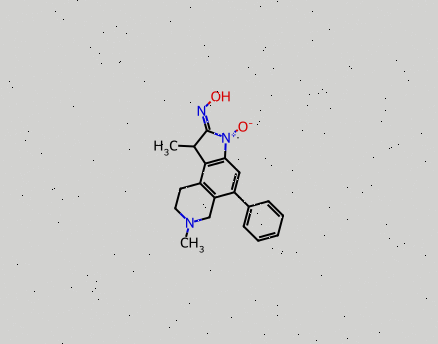 CC1C(=NO)[N+]([O-])c2cc(-c3ccccc3)c3c(c21)CCN(C)C3